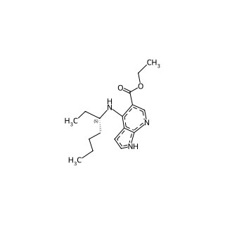 CCCC[C@H](CC)Nc1c(C(=O)OCC)cnc2[nH]ccc12